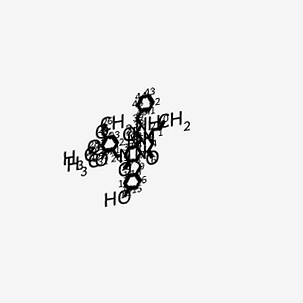 C=CCN1CC(=O)N2[C@@H](Cc3ccc(O)cc3)C(=O)N(Cc3ccc(OC)c(OC)c3OC)C[C@@H]2N1C(=O)NCc1ccccc1